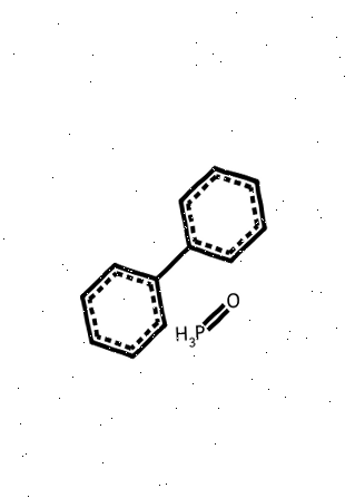 O=[PH3].c1ccc(-c2ccccc2)cc1